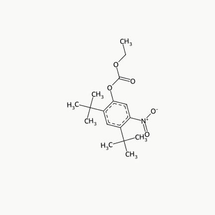 CCOC(=O)Oc1cc([N+](=O)[O-])c(C(C)(C)C)cc1C(C)(C)C